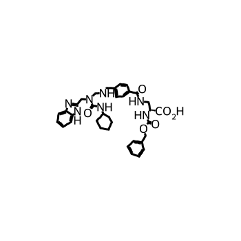 O=C(N[C@@H](CNC(=O)c1ccc(CNCN(Cc2nc3ccccc3[nH]2)C(=O)NC2CCCCC2)cc1)C(=O)O)OCc1ccccc1